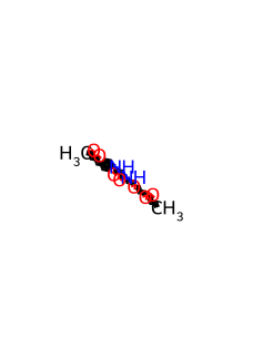 CCCC(=O)OCCCOCCNC(=O)CC(=O)Nc1ccc(CC(=O)CC(C)=O)cc1